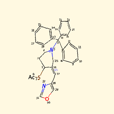 CC(=O)SC1CCN(C(c2ccccc2)(c2ccccc2)c2ccccc2)C/C1=C/c1cocn1